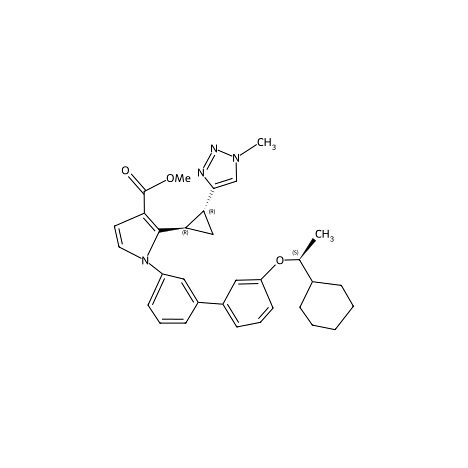 COC(=O)c1ccn(-c2cccc(-c3cccc(O[C@@H](C)C4CCCCC4)c3)c2)c1[C@@H]1C[C@H]1c1cn(C)nn1